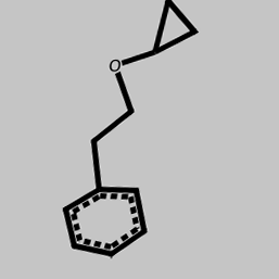 [c]1ccc(CCOC2CC2)cc1